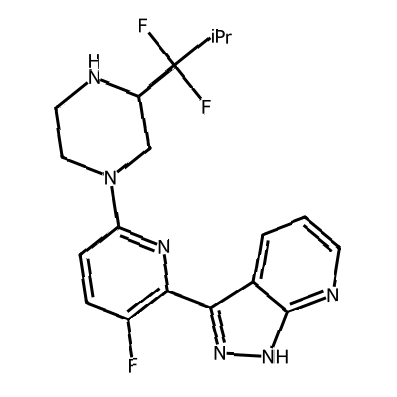 CC(C)C(F)(F)C1CN(c2ccc(F)c(-c3n[nH]c4ncccc34)n2)CCN1